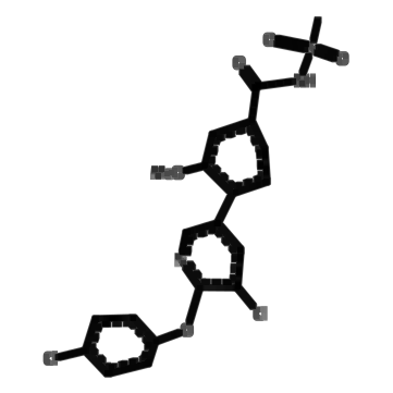 COc1cc(C(=O)NS(C)(=O)=O)ccc1-c1cnc(Oc2ccc(Cl)cc2)c(Cl)c1